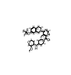 CO[C@@H]1COCC[C@@H]1NC1CCN(C(=O)c2ncnc(N3CCc4ccc(OC(F)(F)F)cc4C3)c2C)CC1